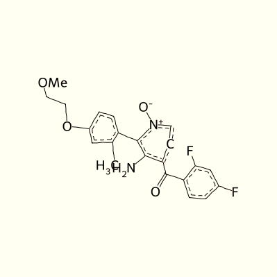 COCCOc1ccc(-c2c(N)c(C(=O)c3ccc(F)cc3F)cc[n+]2[O-])c(C)c1